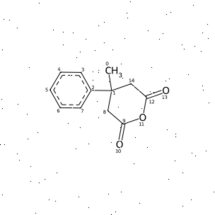 CC1(c2ccccc2)CC(=O)OC(=O)C1